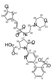 CS(=O)(=O)c1ccccc1-c1ccc(N2CC[C@H](N(CCN3CCOCC3)S(=O)(=O)/C=C/c3ccc(Cl)s3)C2=O)nc1.O=CO